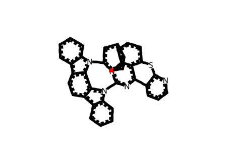 c1ccc(-n2c3ccccc3c3ccc4c5ccccc5n(-c5nc6c7c(cccc7n5)Sc5ncccc5-6)c4c32)cc1